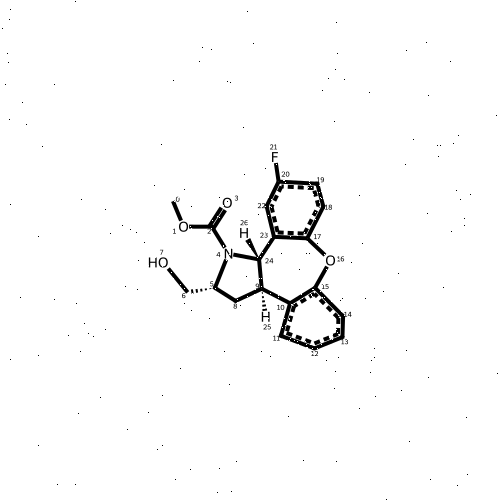 COC(=O)N1[C@@H](CO)C[C@@H]2c3ccccc3Oc3ccc(F)cc3[C@H]21